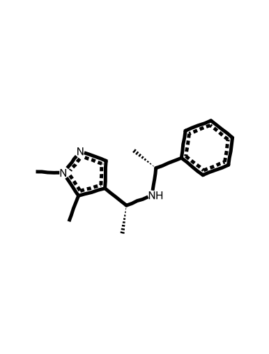 Cc1c([C@@H](C)N[C@H](C)c2ccccc2)cnn1C